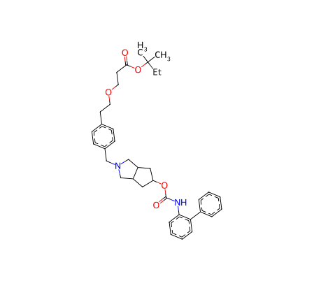 CCC(C)(C)OC(=O)CCOCCc1ccc(CN2CC3CC(OC(=O)Nc4ccccc4-c4ccccc4)CC3C2)cc1